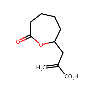 C=C(CC1CCCCC(=O)O1)C(=O)O